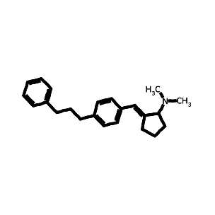 CN(C)C1CCCC1=Cc1ccc(CCCc2ccccc2)cc1